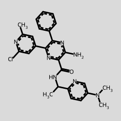 Cc1cc(-c2nc(C(=O)NC(C)c3ccc(N(C)C)cn3)c(N)nc2-c2ccccc2)cc(Cl)n1